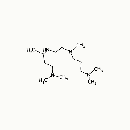 CC(CCN(C)C)NCCN(C)CCCN(C)C